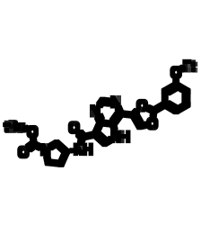 CCOc1cccc(C2OC=C(c3ncnc4c(C(=O)N[C@@H]5CCN(C(=O)OC(C)(C)C)C5)c[nH]c34)O2)c1